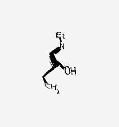 C=CC(O)C=NCC